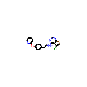 Clc1csc2ncnc(NCCc3ccc(Oc4ccccn4)cc3)c12